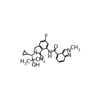 Cn1cc2c(C(=O)Nc3cc(F)cc4c3C(=O)N([C@H](C3CC3)C(C)(C)O)C4)cccc2n1